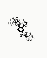 CC1(C)OB(c2ccc(S(=O)(=O)N[Si](C)(C)C(C)(C)C)cc2C2OCCO2)OC1(C)C